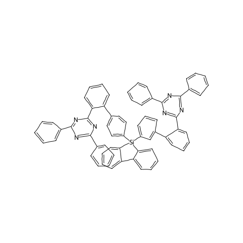 c1ccc(-c2nc(-c3ccccc3)nc(-c3ccccc3-c3ccc([Si]4(c5cccc(-c6ccccc6-c6nc(-c7ccccc7)nc(-c7ccccc7)n6)c5)c5ccccc5-c5ccccc54)cc3)n2)cc1